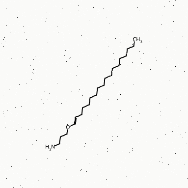 CCCCCCCCCCCCCCCCC=COCCCN